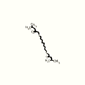 CC(C)CC(=O)CSCCCCCCCCCSCC(=O)CC(C)C